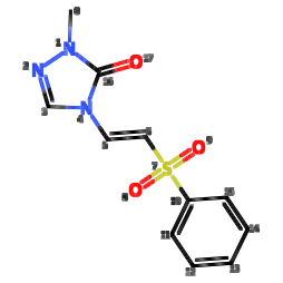 Cn1ncn(C=CS(=O)(=O)c2ccccc2)c1=O